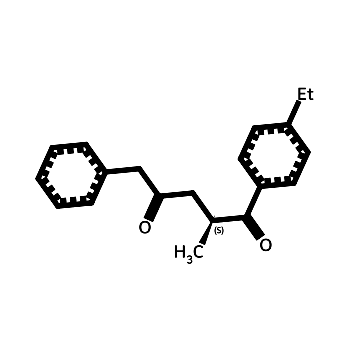 CCc1ccc(C(=O)[C@@H](C)CC(=O)Cc2ccccc2)cc1